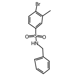 Cc1cc(S(=O)(=O)NCc2ccccc2)ccc1Br